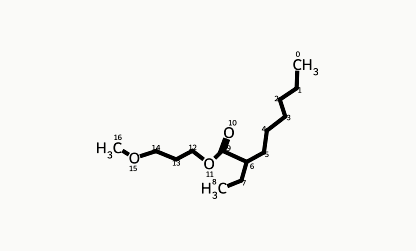 CCCCCCC(CC)C(=O)OCCCOC